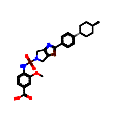 COc1cc(C(=O)O)ccc1NS(=O)(=O)N1Cc2nc(-c3ccc([C@H]4CC[C@H](C)CC4)cc3)sc2C1